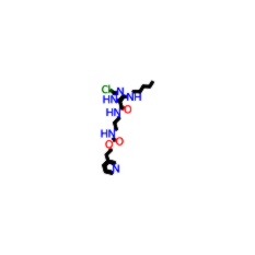 CCCCCNc1nc(Cl)[nH]c1C(=O)NCCCNC(=O)OCCc1cccnc1